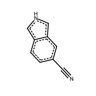 N#Cc1ccc2c[nH]cc2c1